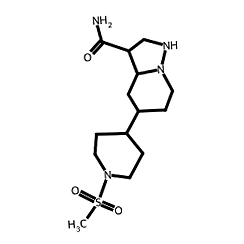 CS(=O)(=O)N1CCC(C2CCN3NCC(C(N)=O)C3C2)CC1